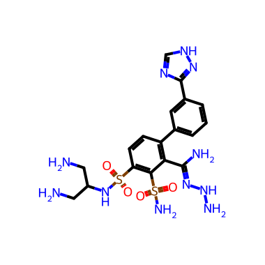 NCC(CN)NS(=O)(=O)c1ccc(-c2cccc(-c3nc[nH]n3)c2)c(/C(N)=N/NN)c1S(N)(=O)=O